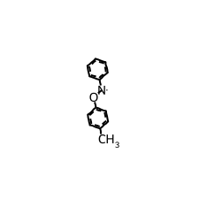 Cc1ccc(O[N]c2ccccc2)cc1